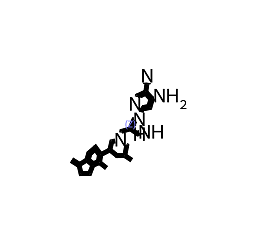 C=C1CCc2c1ccc(C1CC(C)CN(C/C(C=N)=C/Nc3cc(N)c(C#N)cn3)C1)c2C